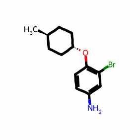 C[C@H]1CC[C@H](Oc2ccc(N)cc2Br)CC1